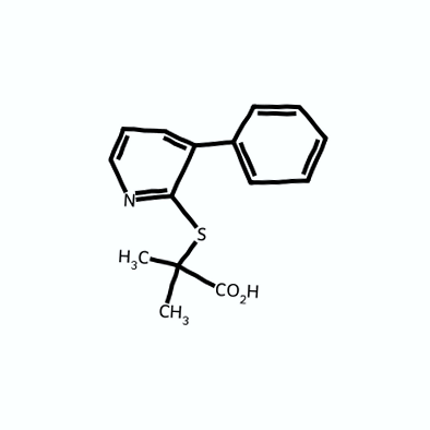 CC(C)(Sc1ncccc1-c1ccccc1)C(=O)O